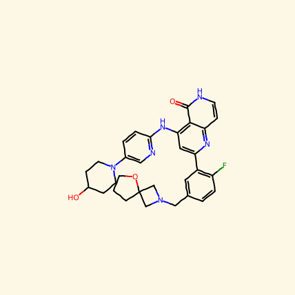 O=c1[nH]ccc2nc(-c3cc(CN4CC5(CCCO5)C4)ccc3F)cc(Nc3ccc(N4CCC(O)CC4)cn3)c12